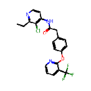 CCc1nccc(NC(=O)Cc2ccc(Oc3ncccc3C(F)(F)F)cc2)c1Cl